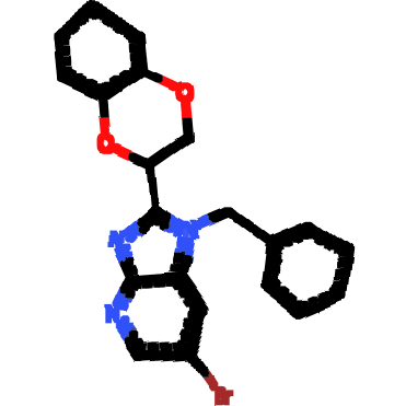 Brc1cnc2nc(C3COc4ccccc4O3)n(Cc3ccccc3)c2c1